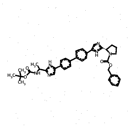 CC(NC(=O)OC(C)(C)C)c1ncc(-c2ccc(-c3ccc(-c4cnc([C@@H]5CCCN5C(=O)OCc5ccccc5)[nH]4)cc3)cc2)[nH]1